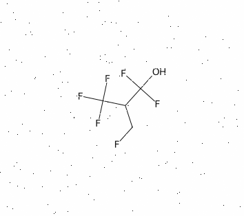 OC(F)(F)[C](CF)C(F)(F)F